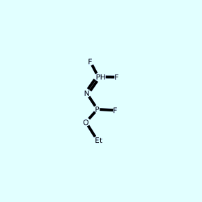 CCOP(F)N=[PH](F)F